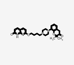 CC1(C)Oc2c(cccc2N2CCN(CCCCOc3ccc4ccc(=O)[nH]c4n3)CC2)CC1=O